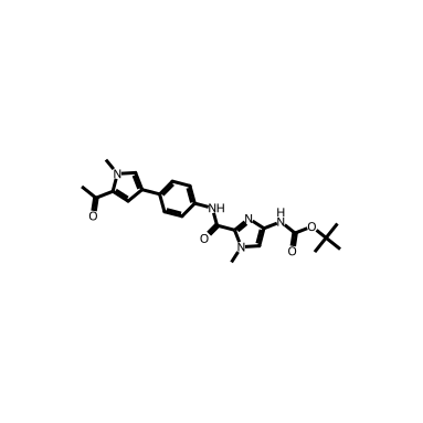 CC(=O)c1cc(-c2ccc(NC(=O)c3nc(NC(=O)OC(C)(C)C)cn3C)cc2)cn1C